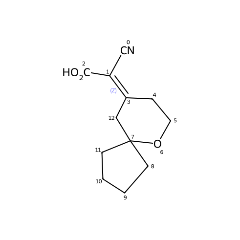 N#C/C(C(=O)O)=C1\CCOC2(CCCC2)C1